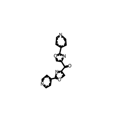 O=C(c1coc(-c2ccncc2)n1)c1coc(-c2ccncc2)n1